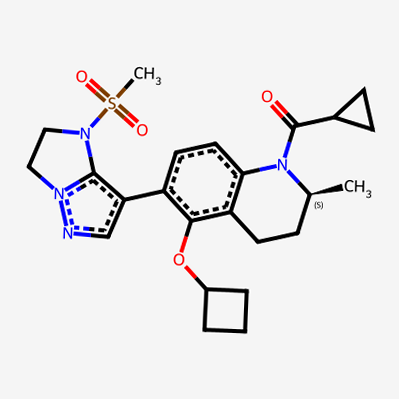 C[C@H]1CCc2c(ccc(-c3cnn4c3N(S(C)(=O)=O)CC4)c2OC2CCC2)N1C(=O)C1CC1